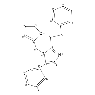 c1ccc(CCc2nnc(-c3cccnc3)n2Cc2ccco2)cc1